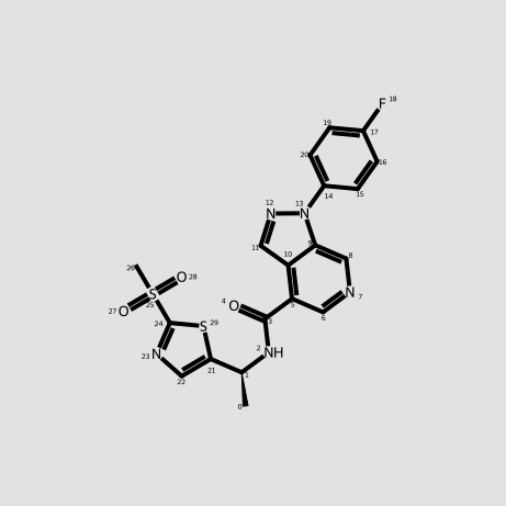 C[C@H](NC(=O)c1cncc2c1cnn2-c1ccc(F)cc1)c1cnc(S(C)(=O)=O)s1